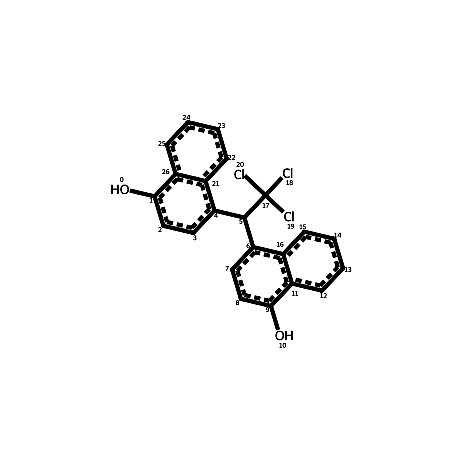 Oc1ccc(C(c2ccc(O)c3ccccc23)C(Cl)(Cl)Cl)c2ccccc12